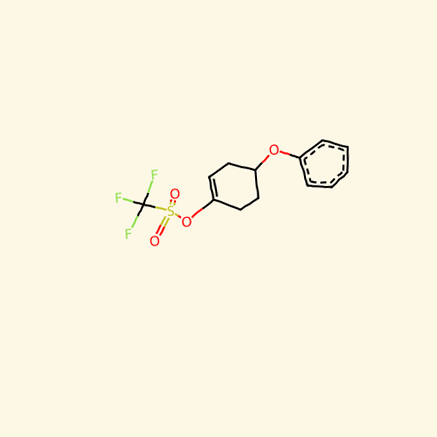 O=S(=O)(OC1=CCC(Oc2ccccc2)CC1)C(F)(F)F